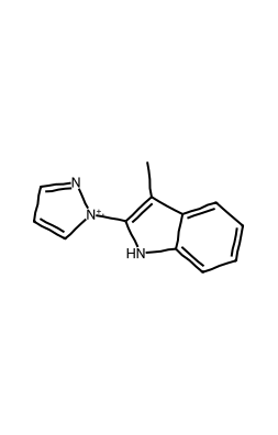 Cc1c([N+]2C=CC=N2)[nH]c2ccccc12